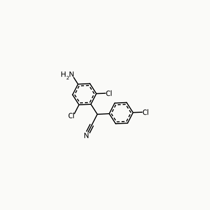 N#CC(c1ccc(Cl)cc1)c1c(Cl)cc(N)cc1Cl